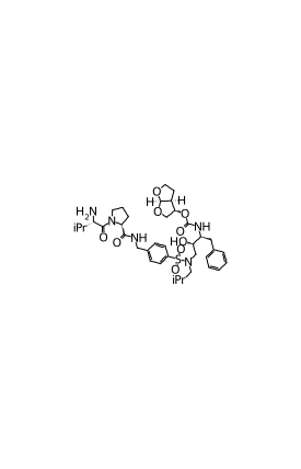 CC(C)CN(C[C@@H](O)[C@H](Cc1ccccc1)NC(=O)O[C@H]1CO[C@H]2OCC[C@H]21)S(=O)(=O)c1ccc(CNC(=O)[C@@H]2CCCN2C(=O)[C@@H](N)C(C)C)cc1